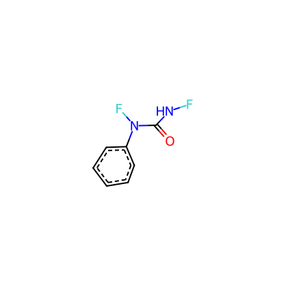 O=C(NF)N(F)c1ccccc1